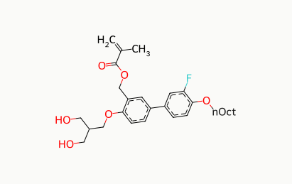 C=C(C)C(=O)OCc1cc(-c2ccc(OCCCCCCCC)c(F)c2)ccc1OCC(CO)CO